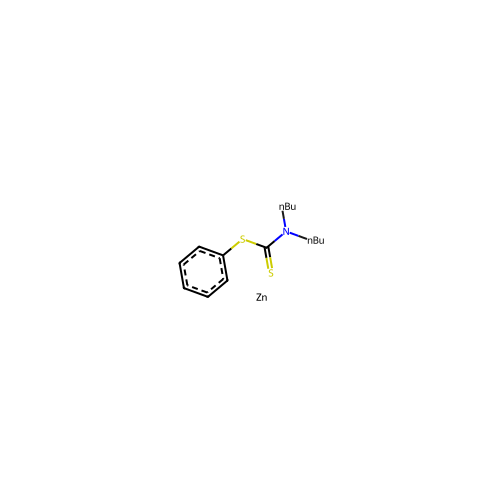 CCCCN(CCCC)C(=S)Sc1ccccc1.[Zn]